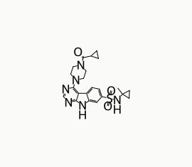 CC1(NS(=O)(=O)c2ccc3c(c2)[nH]c2ncnc(N4CCN(C(=O)C5CC5)CC4)c23)CC1